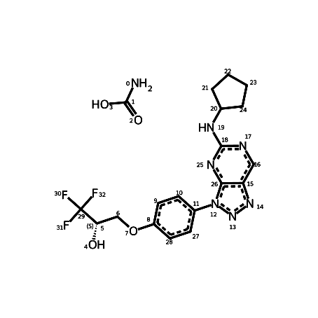 NC(=O)O.O[C@@H](COc1ccc(-n2nnc3cnc(NC4CCCC4)nc32)cc1)C(F)(F)F